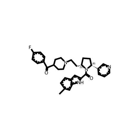 Cc1ccc2cc(C(=O)N3[C@H](CCN4CCC(C(=O)c5ccc(F)cc5)CC4)CC[C@@H]3c3cccnc3)[nH]c2c1